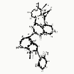 C[C@H]1CN(c2nc(-c3ccnc4[nH]c(-c5ccccc5Cl)cc34)nc3cncc(C4CC4)c23)CCN1